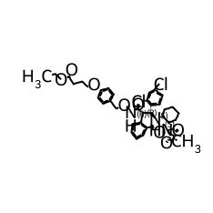 CCOC(=O)CCCOc1ccc(CONC(=O)[C@@H]2c3ccccc3C(=O)N([C@H]3CCCC[C@@H]3NS(C)(=O)=O)[C@H]2c2ccc(Cl)cc2Cl)cc1